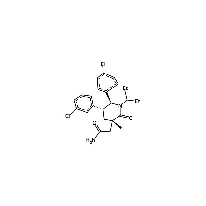 CCC(CC)N1C(=O)[C@](C)(CC(N)=O)C[C@H](c2cccc(Cl)c2)[C@H]1c1ccc(Cl)cc1